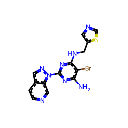 Nc1nc(-n2ncc3ccncc32)nc(NCc2cncs2)c1Br